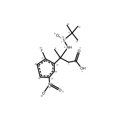 CC(CC(=O)O)(N[S@+]([O-])C(C)(C)C)c1cc([N+](=O)[O-])ccc1F